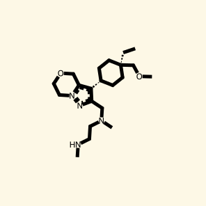 CC[C@]1(COC)CC[C@H](c2c(CN(C)CCNC)nn3c2COCC3)CC1